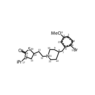 COc1ccc(Br)c(CC2CCN(CCC3CN(C(C)C)C(=O)S3)CC2)c1